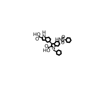 O=C(O)c1cc2cc(-c3c(C(=O)O)n(Cc4ccccc4)c4ccc(NS(=O)(=O)c5ccccc5)cc34)ccc2[nH]1